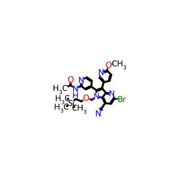 COc1ccc(-c2c(-c3ccnc(NC(C)=O)c3)n(COCC[Si](C)(C)C)c3c(C#N)cc(Br)nc23)cn1